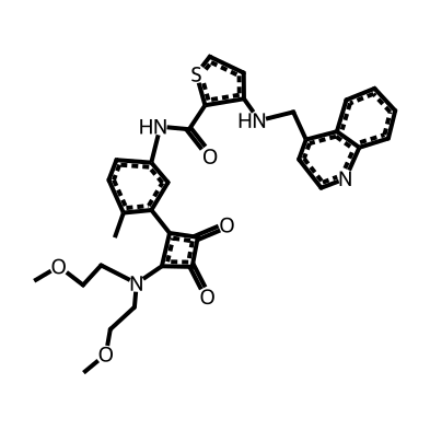 COCCN(CCOC)c1c(-c2cc(NC(=O)c3sccc3NCc3ccnc4ccccc34)ccc2C)c(=O)c1=O